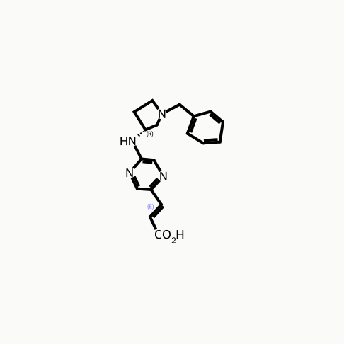 O=C(O)/C=C/c1cnc(N[C@@H]2CCN(Cc3ccccc3)C2)cn1